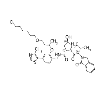 Cc1ncsc1-c1ccc(CNC(=O)[C@@H]2C[C@@H](O)CN2C(=O)[C@H](C(C)C)N2Cc3ccccc3C2=O)c(OC(C)CCOCCCCCCCl)c1